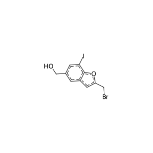 OCc1cc(I)c2oc(CBr)cc2c1